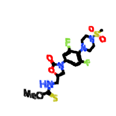 COC(=S)NCC1CN(c2cc(F)c(N3CCN(S(C)(=O)=O)CC3)c(F)c2)C(=O)O1